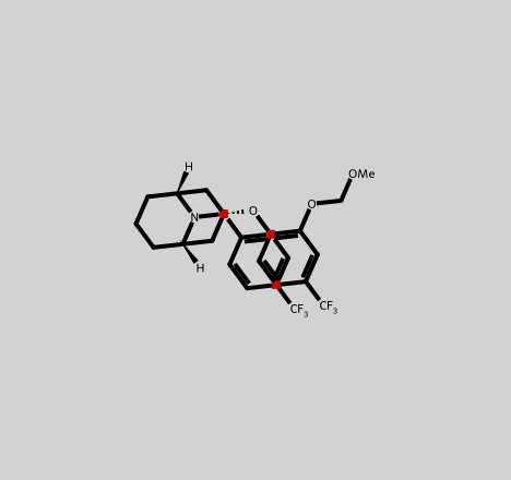 COCOc1cc(C(F)(F)F)ccc1O[C@H]1C[C@H]2CCC[C@@H](C1)N2Oc1ccc(C(F)(F)F)cn1